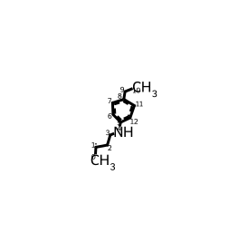 C[CH]CCNc1ccc(CC)cc1